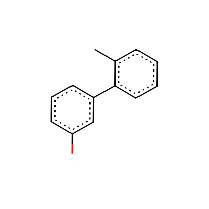 Cc1[c]cccc1-c1cccc(O)c1